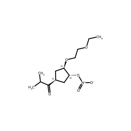 CCOCCO[C@@H]1C[C@H](C(=O)C(C)C)C[C@H]1O[N+](=O)[O-]